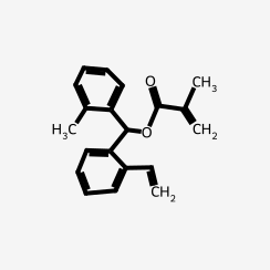 C=Cc1ccccc1C(OC(=O)C(=C)C)c1ccccc1C